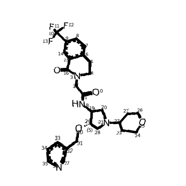 O=C(CN1CCc2ccc(C(F)(F)F)cc2C1=O)NC1CN(C2CCOCC2)C[C@@H]1OCc1cccnc1